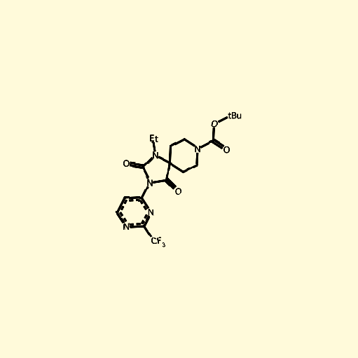 CCN1C(=O)N(c2ccnc(C(F)(F)F)n2)C(=O)C12CCN(C(=O)OC(C)(C)C)CC2